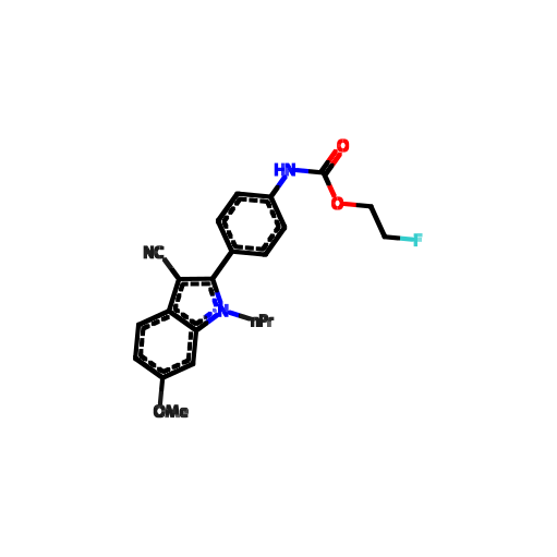 CCCn1c(-c2ccc(NC(=O)OCCF)cc2)c(C#N)c2ccc(OC)cc21